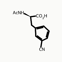 CC(=O)N[C@H](Cc1cccc(C#N)c1)C(=O)O